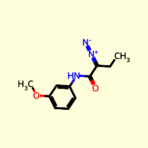 CCC(=[N+]=[N-])C(=O)Nc1cccc(OC)c1